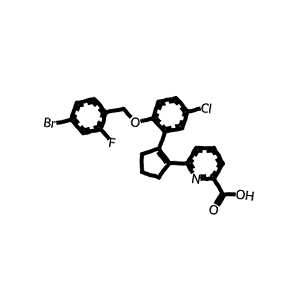 O=C(O)c1cccc(C2=C(c3cc(Cl)ccc3OCc3ccc(Br)cc3F)CCC2)n1